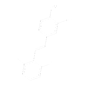 CCCc1cc(/C=C/c2c(Cl)cccc2Cl)ccc1OC